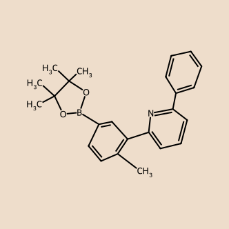 Cc1ccc(B2OC(C)(C)C(C)(C)O2)cc1-c1cccc(-c2ccccc2)n1